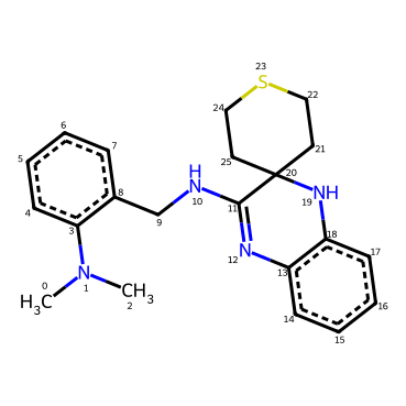 CN(C)c1ccccc1CNC1=Nc2ccccc2NC12CCSCC2